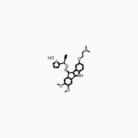 C#CC(O/N=C1/c2cc(OC)c(OC)cc2-c2[nH]c3ccc(OCCN(C)C)cc3c21)c1cccs1.Cl